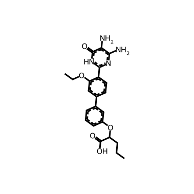 CCCC(Oc1cccc(-c2ccc(-c3nc(N)c(N)c(=O)[nH]3)c(OCC)c2)c1)C(=O)O